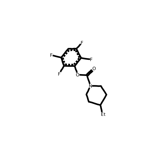 CCC1CCN(C(=O)Oc2c(F)c(F)cc(F)c2F)CC1